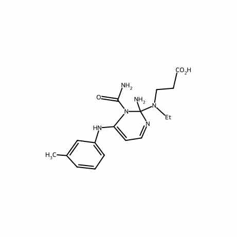 CCN(CCC(=O)O)C1(N)N=CC=C(Nc2cccc(C)c2)N1C(N)=O